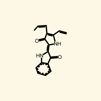 C=CC1=C(/C=C\C)C(=O)/C(=C2\Nc3ccccc3C2=O)N1